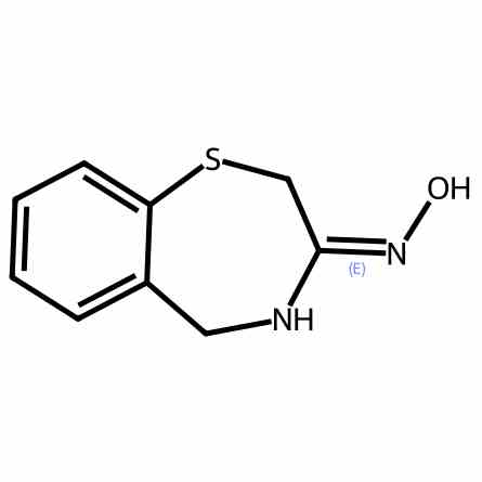 O/N=C1\CSc2ccccc2CN1